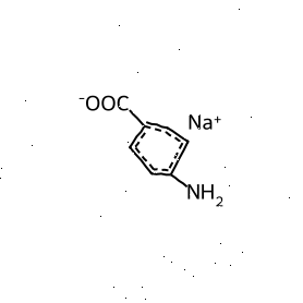 Nc1ccc(C(=O)[O-])cc1.[Na+]